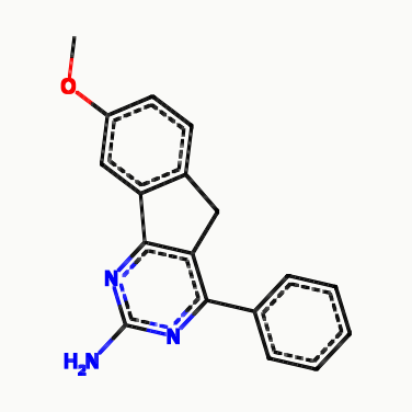 COc1ccc2c(c1)-c1nc(N)nc(-c3ccccc3)c1C2